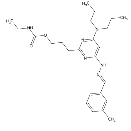 CCCN(CCC)c1cc(N/N=C/c2cccc(C)c2)nc(CCCOC(=O)NCC)n1